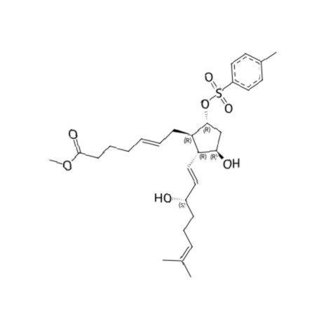 COC(=O)CCCC=CC[C@@H]1[C@@H](C=C[C@@H](O)CCC=C(C)C)[C@H](O)C[C@H]1OS(=O)(=O)c1ccc(C)cc1